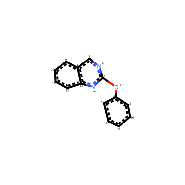 c1ccc(Oc2ncc3ccccc3n2)cc1